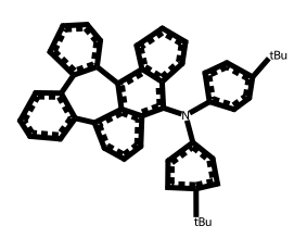 CC(C)(C)c1ccc(N(c2ccc(C(C)(C)C)cc2)c2c3ccccc3c3c4c(cccc24)-c2ccccc2-c2ccccc2-3)cc1